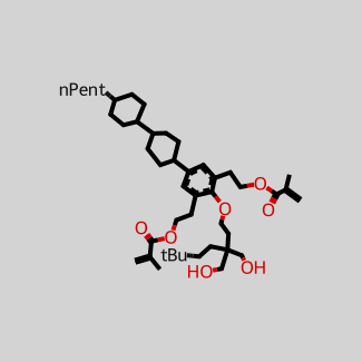 C=C(C)C(=O)OCCc1cc(C2CCC(C3CCC(CCCCC)CC3)CC2)cc(CCOC(=O)C(=C)C)c1OCCC(CO)(CO)CCC(C)(C)C